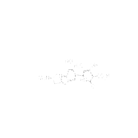 CNC1Cc2cc3cc(-c4[nH]c(=O)c(C(=O)O)c(O)c4C)ccc3n2C1.Cl